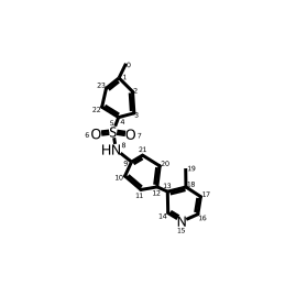 Cc1ccc(S(=O)(=O)Nc2ccc(-c3cnccc3C)cc2)cc1